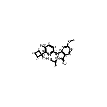 CSc1ncc2c(=O)n(C(C)C)n(-c3ccc(F)c(C4(O)CCC4)n3)c2n1